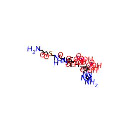 CC(C)(COP(=O)(O)OP(=O)(O)OC[C@H]1O[C@@H](n2cnc3c(N)ncnc32)[C@H](O)[C@@H]1OP(=O)(O)O)[C@@H](O)C(=O)NCCC(=O)NCCSC(=O)CC(=O)CCN